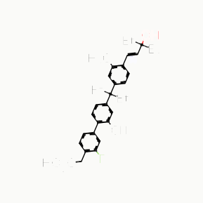 CCC(O)(/C=C/c1ccc(C(CC)(CC)c2ccc(-c3ccc(CC(=O)O)c(F)c3)c(C)c2)cc1C)CC